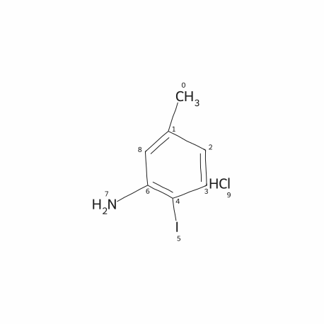 Cc1ccc(I)c(N)c1.Cl